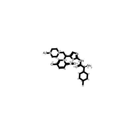 CC(=O)N1CCN(CC(c2cnc(NC(=O)[C@@H](N)C3CCC(C)CC3)s2)N2C=C(Cl)C=CC2=C=O)CC1